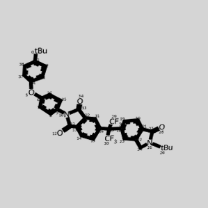 CC(C)(C)c1ccc(Oc2ccc(N3C(=O)c4ccc(C(c5ccc6c(c5)CN(C(C)(C)C)C6=O)(C(F)(F)F)C(F)(F)F)cc4C3=O)cc2)cc1